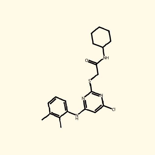 Cc1cccc(Nc2cc(Cl)nc(SCC(=O)NC3CCCCC3)n2)c1C